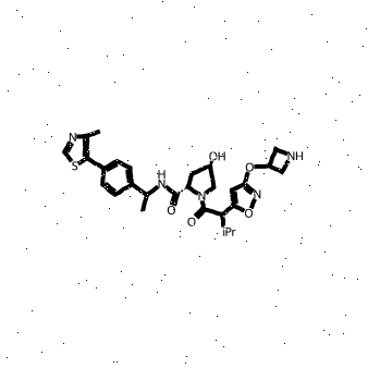 Cc1ncsc1-c1ccc(C(C)NC(=O)[C@@H]2C[C@@H](O)CN2C(=O)C(c2cc(OC3CNC3)no2)C(C)C)cc1